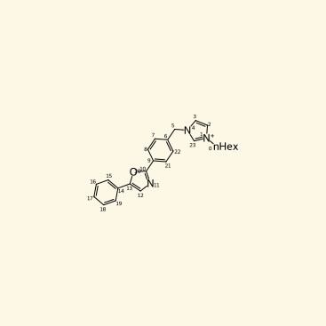 CCCCCC[n+]1ccn(Cc2ccc(-c3ncc(-c4ccccc4)o3)cc2)c1